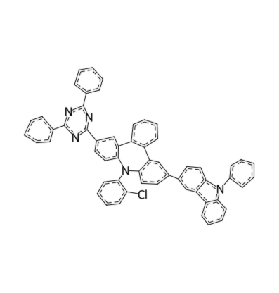 Clc1ccccc1N1c2ccc(-c3ccc4c(c3)c3ccccc3n4-c3ccccc3)cc2-c2ccccc2-c2cc(-c3nc(-c4ccccc4)nc(-c4ccccc4)n3)ccc21